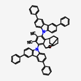 N#Cc1c(C#N)c(-n2c3ccc(-c4ccccc4)cc3c3cc(-c4ccccc4)ccc32)c2c(c1-n1c3ccc(-c4ccccc4)cc3c3cc(-c4ccccc4)ccc31)C1CC3CC(C1)CC2C3